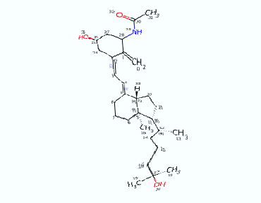 C=C1/C(=C\C=C2/CCC[C@]3(C)[C@@H]([C@H](C)CCCC(C)(C)O)CC[C@@H]23)C[C@@H](O)CC1NC(C)=O